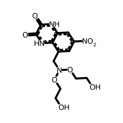 O=c1[nH]c2cc([N+](=O)[O-])cc(CN(OCCO)OCCO)c2[nH]c1=O